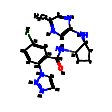 Cc1cnc(N[C@H]2CCC[C@@H]2NC(=O)c2cc(F)ccc2-n2ccnn2)cn1